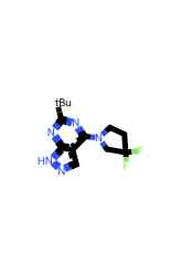 CC(C)(C)c1nc(N2CCC(F)(F)C2)c2cn[nH]c2n1